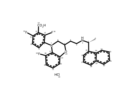 C[C@@H](NCCC1CN(c2ccc(F)c(C(=O)O)c2F)c2c(F)cccc2O1)c1cccc2ccccc12.Cl